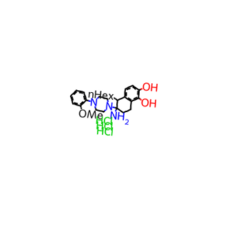 CCCCCCC1c2ccc(O)c(O)c2CCC1(N)N1CCN(c2ccccc2OC)CC1.Cl.Cl.Cl